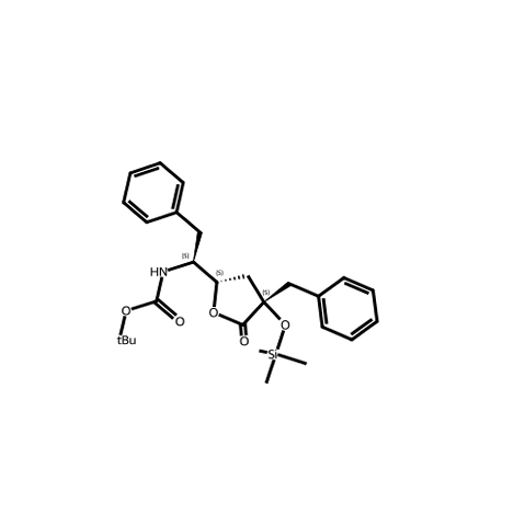 CC(C)(C)OC(=O)N[C@@H](Cc1ccccc1)[C@@H]1C[C@](Cc2ccccc2)(O[Si](C)(C)C)C(=O)O1